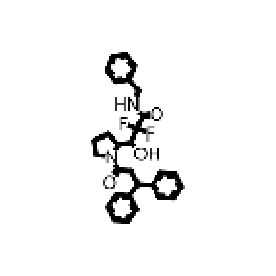 O=C(CC(c1ccccc1)c1ccccc1)N1CCCC1C(O)C(F)(F)C(=O)NCc1ccccc1